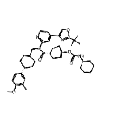 COc1ccc([C@H]2CC[C@H](CN(c3cc(-c4coc(C(C)(C)C)n4)ccn3)C(=O)[C@H]3CC[C@H](OC(=O)NC4CCCCC4)CC3)CC2)cc1C